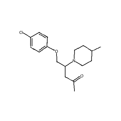 CC(=O)CC(COc1ccc(Cl)cc1)N1CCC(C)CC1